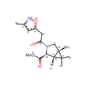 COC(=O)[C@@H]1[C@@H]2[C@H](CN1C(=O)Cc1cc(C)no1)C2(C)C